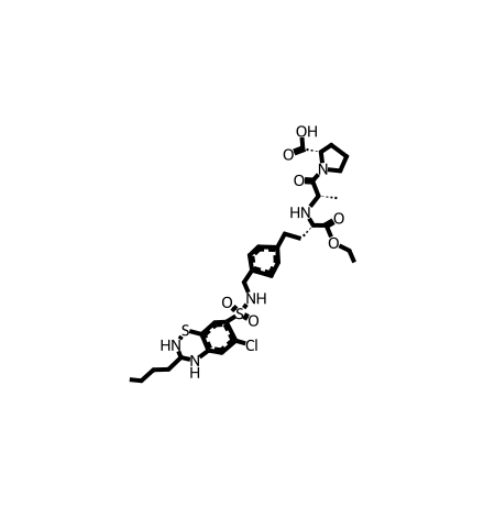 CCCCC1NSc2cc(S(=O)(=O)NCc3ccc(CC[C@H](N[C@@H](C)C(=O)N4CCC[C@H]4C(=O)O)C(=O)OCC)cc3)c(Cl)cc2N1